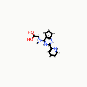 CN(CC(O)O)c1nc(-c2ccccn2)nc2c1CCC2